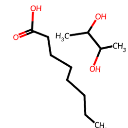 CC(O)C(C)O.CCCCCCCC(=O)O